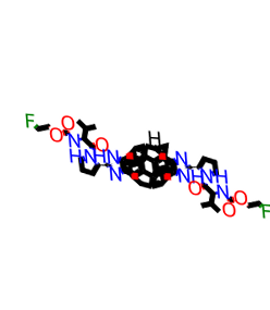 CC(C)[C@H](NC(=O)OCCF)C(=O)N1CCC[C@H]1c1nc2cc(-c3cc4ccc3CCc3ccc(c(-c5ccc6[nH]c([C@@H]7CCCN7C(=O)[C@@H](NC(=O)OCCF)C(C)C)nc6c5)c3)[C@H]3CC43)ccc2[nH]1